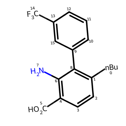 CCCCc1ccc(C(=O)O)c(N)c1-c1cccc(C(F)(F)F)c1